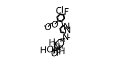 COCOc1cc(Cl)c(F)cc1-c1ccc(N(C)[C@@H]2C[C@H]3CC(F)(F)[C@@H](C2)N3C(=O)O)nn1